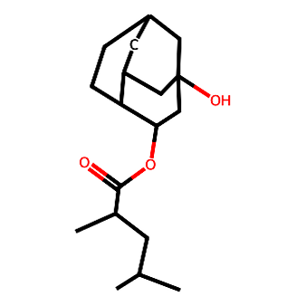 CC(C)CC(C)C(=O)OC1CC2(O)CC3CCC1C(C3)C2